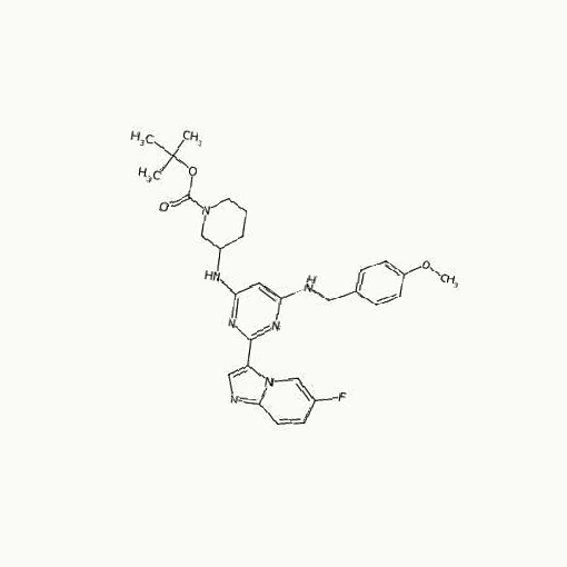 COc1ccc(CNc2cc(NC3CCCN(C(=O)OC(C)(C)C)C3)nc(-c3cnc4ccc(F)cn34)n2)cc1